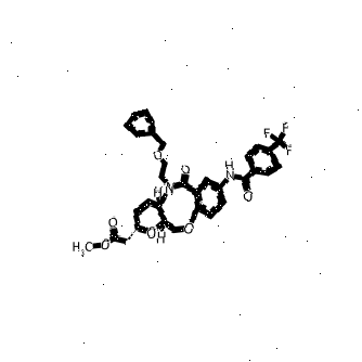 COC(=O)C[C@@H]1C=C[C@H]2[C@H](COc3ccc(NC(=O)c4ccc(C(F)(F)F)cc4)cc3C(=O)N2CCOCc2ccccc2)O1